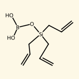 C=CC[Si](CC=C)(CC=C)OB(O)O